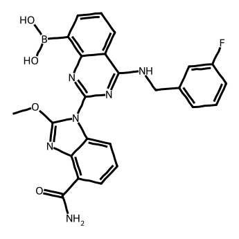 COc1nc2c(C(N)=O)cccc2n1-c1nc(NCc2cccc(F)c2)c2cccc(B(O)O)c2n1